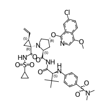 C=C[C@@H]1C[C@@]1(C(=O)NS(=O)(=O)C1CC1)N1C[C@H](Oc2ncc(OC)c3ccc(Cl)cc23)C[C@H]1C(=O)NC(=O)[C@@H](Nc1ccc(S(=O)(=O)N(C)C)cc1)C(C)(C)C